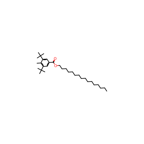 CCCCCCCCCCCCCCCCOC(=O)c1cc(C(C)(C)C)c(C)c(C(C)(C)C)c1